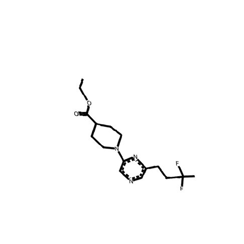 CCOC(=O)C1CCN(c2cncc(CCC(C)(F)F)n2)CC1